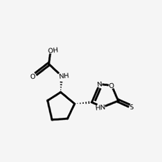 O=C(O)N[C@H]1CCC[C@H]1c1noc(=S)[nH]1